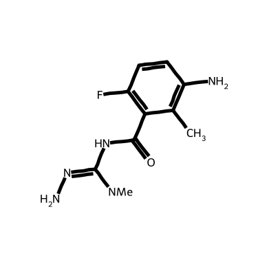 CN/C(=N\N)NC(=O)c1c(F)ccc(N)c1C